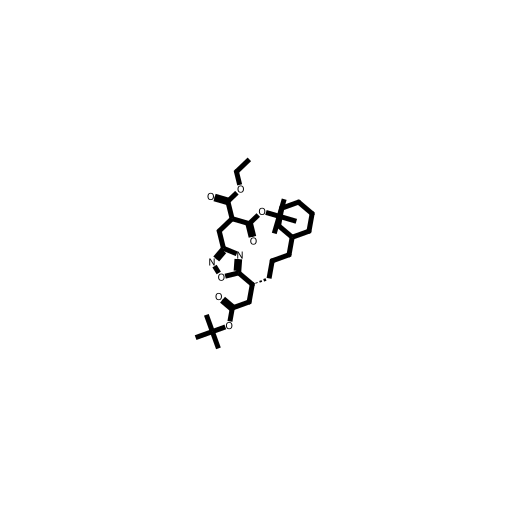 CCOC(=O)C(Cc1noc([C@H](CCCC2CCCCC2)CC(=O)OC(C)(C)C)n1)C(=O)OC(C)(C)C